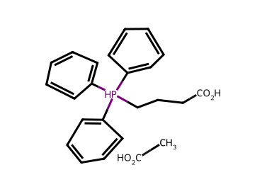 CC(=O)O.O=C(O)CCC[PH](c1ccccc1)(c1ccccc1)c1ccccc1